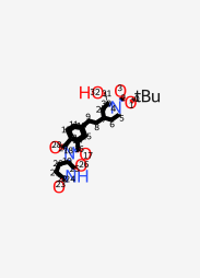 CC(C)(C)OC(=O)N1CCC(CCc2ccc3c(c2)C(=O)N(C2CCC(=O)NC2=O)C3=O)C[C@@H]1CO